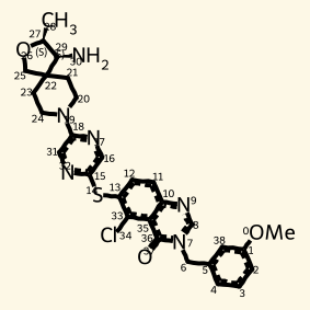 COc1cccc(Cn2cnc3ccc(Sc4cnc(N5CCC6(CC5)CO[C@@H](C)[C@H]6N)cn4)c(Cl)c3c2=O)c1